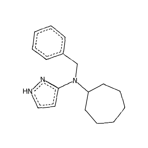 c1ccc(CN(c2cc[nH]n2)C2CCCCCC2)cc1